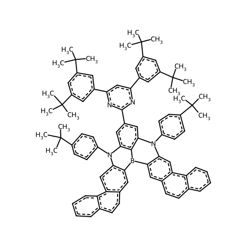 CC(C)(C)c1ccc(N2c3cc4c(ccc5ccccc54)cc3B3c4cc5ccc6ccccc6c5cc4N(c4ccc(C(C)(C)C)cc4)c4cc(-c5nc(-c6cc(C(C)(C)C)cc(C(C)(C)C)c6)cc(-c6cc(C(C)(C)C)cc(C(C)(C)C)c6)n5)cc2c43)cc1